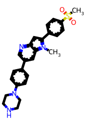 Cn1c(-c2ccc(S(C)(=O)=O)cc2)cc2ncc(-c3ccc(N4CCNCC4)cc3)cc21